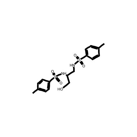 Cc1ccc(S(=O)(=O)NCC(CO)NS(=O)(=O)c2ccc(C)cc2)cc1